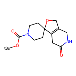 CC(C)(C)OC(=O)N1CCC2(CC1)OCC1=C2CC(=O)NC1